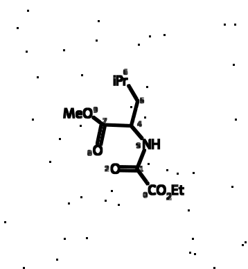 CCOC(=O)C(=O)NC(CC(C)C)C(=O)OC